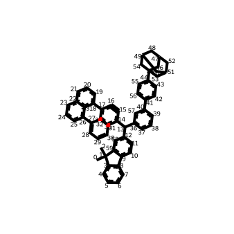 CC1(C)c2ccccc2-c2ccc(C(c3c#cc(-c4cccc5cccc(C6=CC=CCC6)c45)cc3)c3cccc(-c4ccc(C56CC7CC(CC(C7)C5)C6)cc4)c3)cc21